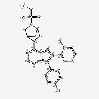 O=S(=O)(CC(F)(F)F)N1CC2CC1CN2c1ncnc2c(-c3ccc(Cl)cc3)n(-c3ccccc3Cl)nc12